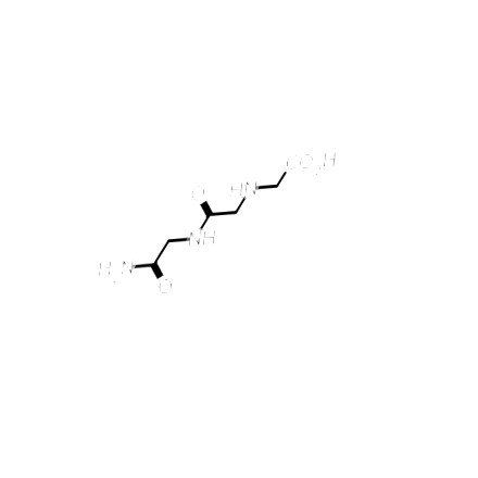 NC(=O)CNC(=O)CNCC(=O)O